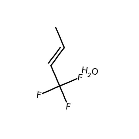 CC=CC(F)(F)F.O